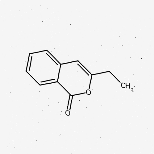 [CH2]Cc1cc2ccccc2c(=O)o1